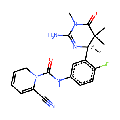 CN1C(=O)C(C)(C)[C@@](C)(c2cc(NC(=O)N3CC=CC=C3C#N)ccc2F)N=C1N